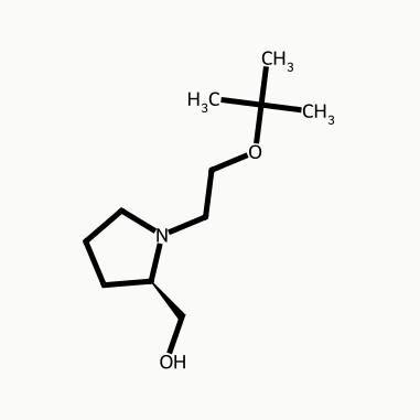 CC(C)(C)OCCN1CCC[C@@H]1CO